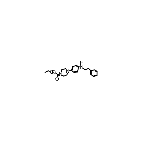 CCCOC(=O)N1CCN(c2ccc(NCCc3ccccc3)cc2)CC1